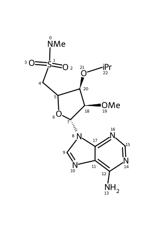 CNS(=O)(=O)CC1O[C@@H](n2cnc3c(N)ncnc32)[C@H](OC)[C@@H]1OC(C)C